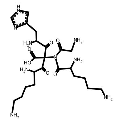 NCCCCC(N)C(=O)N(C(=O)CN)C(C(=O)O)(C(=O)C(N)CCCCN)C(=O)C(N)Cc1c[nH]cn1